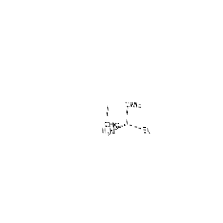 CC=O.CCC(N)OC